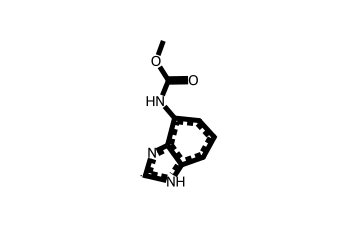 COC(=O)Nc1cccc2[nH][c]nc12